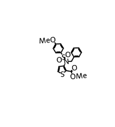 COC(=O)c1sccc1N(Cc1ccccc1)S(=O)(=O)c1ccc(OC)cc1